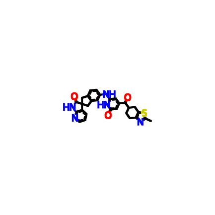 Cc1nc2c(s1)CC(C(=O)c1cc(Nc3ccc4c(c3)CC3(C4)C(=O)Nc4ncccc43)[nH]c(=O)c1)CC2